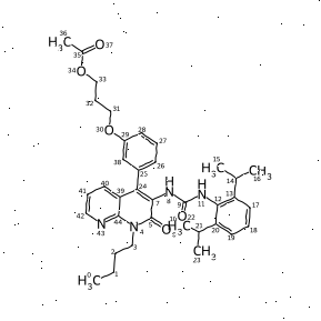 CCCCn1c(=O)c(NC(=O)Nc2c(C(C)C)cccc2C(C)C)c(-c2cccc(OCCCOC(C)=O)c2)c2cccnc21